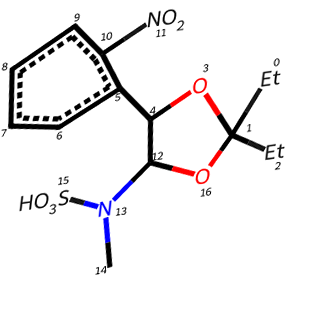 CCC1(CC)OC(c2ccccc2[N+](=O)[O-])C(N(C)S(=O)(=O)O)O1